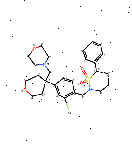 O=S1(=O)[C@@H](c2ccccc2)CCCN1Cc1ccc(C2(CN3CCOCC3)CCOCC2)cc1F